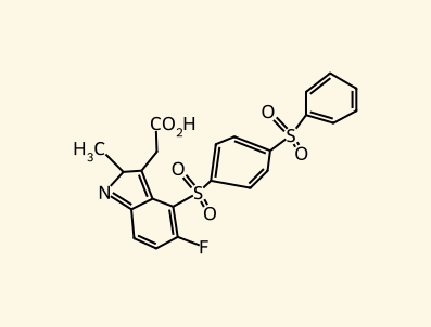 CC1N=c2ccc(F)c(S(=O)(=O)c3ccc(S(=O)(=O)c4ccccc4)cc3)c2=C1CC(=O)O